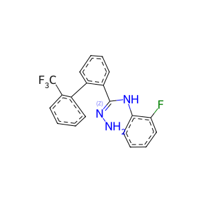 N/N=C(\Nc1ccccc1F)c1ccccc1-c1ccccc1C(F)(F)F